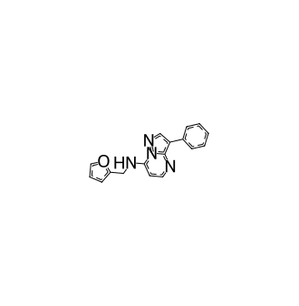 c1ccc(-c2cnn3c(NCc4ccco4)ccnc23)cc1